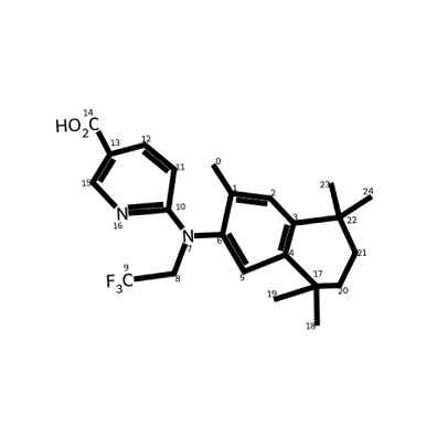 Cc1cc2c(cc1N(CC(F)(F)F)c1ccc(C(=O)O)cn1)C(C)(C)CCC2(C)C